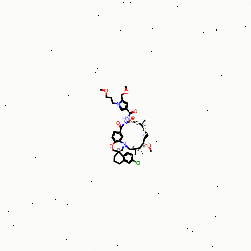 COCCCn1cc(C(=O)NS2(=O)=NC(=O)c3ccc4c(c3)N(C[C@H](C)[C@@H](C)[C@@H](OC)/C=C/C[C@H](C)C2)C[C@@]2(CCCc3cc(Cl)ccc32)CO4)cc1COC